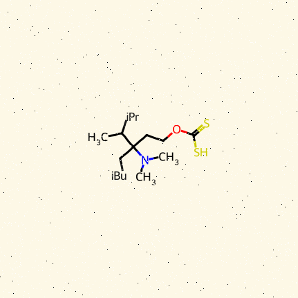 CCC(C)CC(CCOC(=S)S)(C(C)C(C)C)N(C)C